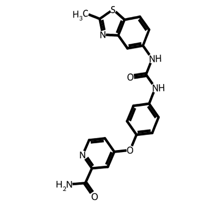 Cc1nc2cc(NC(=O)Nc3ccc(Oc4ccnc(C(N)=O)c4)cc3)ccc2s1